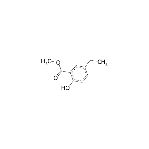 CCc1ccc(O)c(C(=O)OC)c1